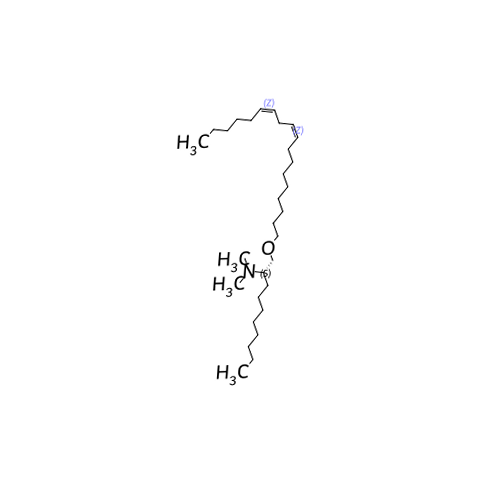 CCCCC/C=C\C/C=C\CCCCCCCCOC[C@H](CCCCCCCC)N(C)C